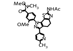 COc1cc(C(=O)N(C)OC)ccc1-n1nc(-c2ccc(C)nc2)c2c1-c1sc(NC(C)=O)nc1CC2